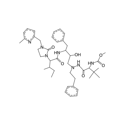 CCC(C)C(C(=O)NC(Cc1ccccc1)C(O)CN(CCc1ccccc1)NC(=O)C(NC(=O)OC)C(C)(C)C)N1CCN(Cc2cccc(C)n2)C1=O